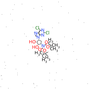 CC(C)(C)OC(=O)N(C(=O)OC(C)(C)C)[C@H]1C[C@@H](n2cnc3c(Cl)nc(Cl)nc32)[C@@H](O)[C@H]1O